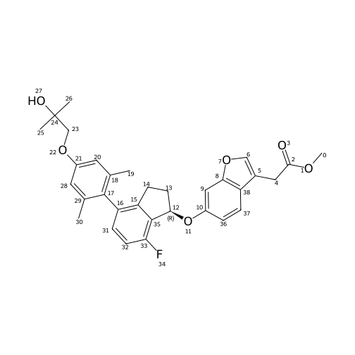 COC(=O)Cc1coc2cc(O[C@@H]3CCc4c(-c5c(C)cc(OCC(C)(C)O)cc5C)ccc(F)c43)ccc12